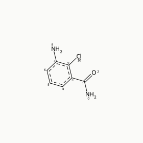 NC(=O)c1cccc(N)c1Cl